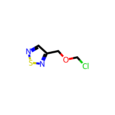 ClCOCc1cnsn1